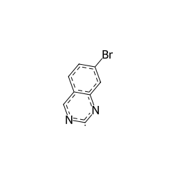 Brc1ccc2cn[c]nc2c1